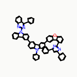 c1ccc(-c2cc(-c3ccccc3)nc(-c3cccc4oc5ccc(-c6ccc7c(c6)c6cc(-c8ccc9c(c8)c8ccccc8n9-c8nc(-c9ccccc9)c9ccccc9n8)ccc6n7-c6ccccc6)cc5c34)n2)cc1